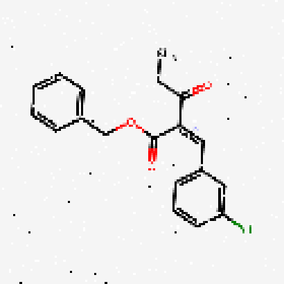 CCC(=O)/C(=C/c1cccc(Cl)c1)C(=O)OCc1ccccc1